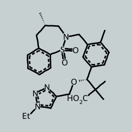 CCn1cc(CO[C@H](c2ccc(C)c(CN3C[C@@H](C)Cc4ccccc4S3(=O)=O)c2)C(C)(C)C(=O)O)nn1